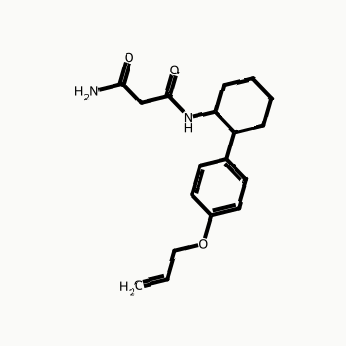 C=CCOc1ccc(C2CCCCC2NC(=O)CC(N)=O)cc1